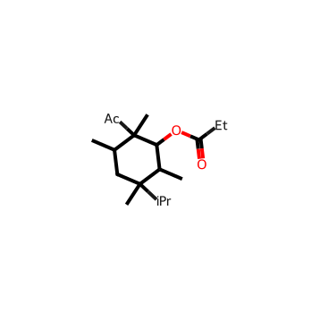 CCC(=O)OC1C(C)C(C)(C(C)C)CC(C)C1(C)C(C)=O